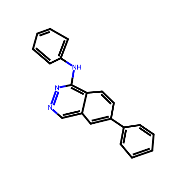 c1ccc(Nc2nncc3cc(-c4ccccc4)ccc23)cc1